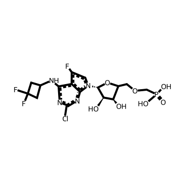 O=P(O)(O)COCC1O[C@@H](n2cc(F)c3c(NC4CC(F)(F)C4)nc(Cl)nc32)[C@H](O)[C@@H]1O